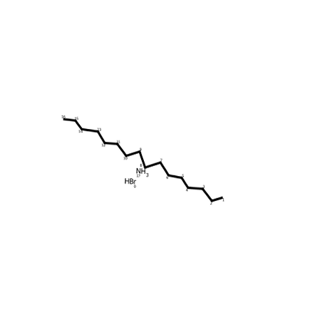 Br.CCCCCCCCCCCCCCCC.N